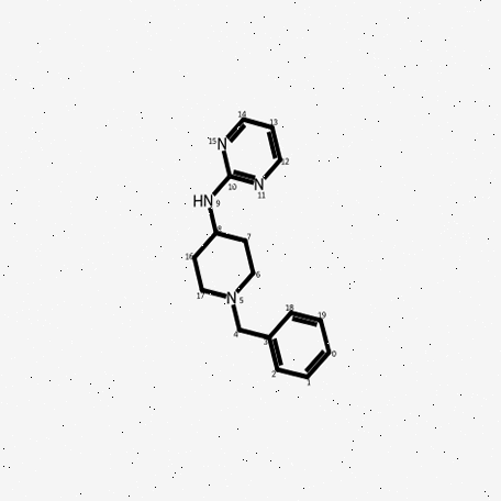 c1ccc(CN2CCC(Nc3ncccn3)CC2)cc1